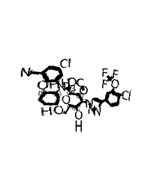 CO[C@@H]1[C@@H](n2cc(-c3ccc(Cl)c(OC(F)(F)F)c3)nn2)[C@@H](O)[C@@H](CO)O[C@H]1C(=O)N(c1cc(Cl)cc(C#N)c1)[C@H]1CCCC[C@@H]1O